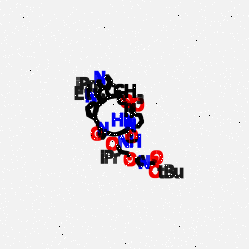 CCn1c(-c2cccnc2C(C)C)c2c3cc(ccc31)-c1nc(co1)C[C@H](NC(=O)[C@@H](COC1CN(C(=O)OC(C)(C)C)C1)C(C)C)C(=O)N1CCC[C@H](N1)C(=O)OCC(C)(C)C2